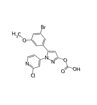 COc1cc(Br)cc(-c2cc(OC(=O)O)nn2-c2ccnc(Cl)c2)c1